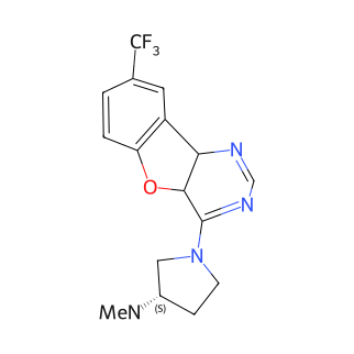 CN[C@H]1CCN(C2=NC=NC3c4cc(C(F)(F)F)ccc4OC23)C1